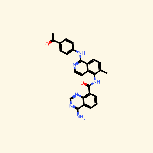 CC(=O)c1ccc(Nc2nccc3c(NC(=O)c4cccc5c(N)ncnc45)c(C)ccc23)cc1